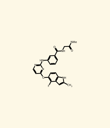 CNC(=O)CNC(=O)c1cccc(Nc2nccc(Oc3ccc4[nH]c(C)cc4c3F)n2)c1